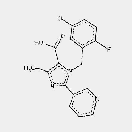 Cc1nc(-c2cccnc2)n(Cc2cc(Cl)ccc2F)c1C(=O)O